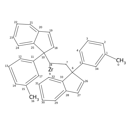 Cc1cccc(C2(C[CH]([Zr])C3(c4cccc(C)c4)C=Cc4ccccc43)C=Cc3ccccc32)c1